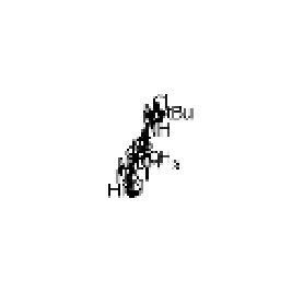 CC(NC(=O)c1ncnc(-c2ncc[nH]2)c1Cl)c1ncc(CNc2cc(C(C)(C)C)c(Cl)nn2)s1